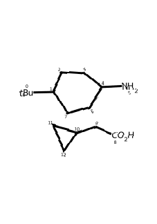 CC(C)(C)C1CCC(N)CC1.O=C(O)CC1CC1